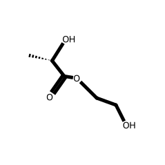 C[C@H](O)C(=O)OCCO